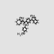 COc1ccc(COc2nc(N3c4ccccc4C[C@H]3C)ncc2C(=O)NN2CCCCCC2=O)cc1